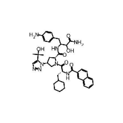 CC(C)(O)c1cnnn1[C@H]1C[C@@H](C(=O)NC(Cc2ccc(N)cc2)C(O)C(N)=O)N(C(=O)[C@@H](CC2CCCCC2)NC(=O)c2ccc3ccccc3c2)C1